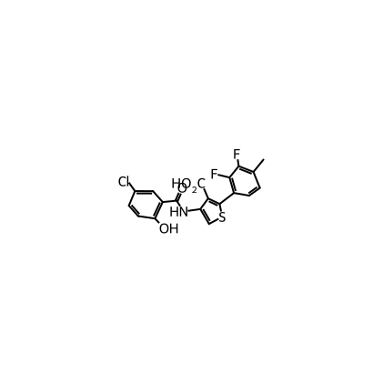 Cc1ccc(-c2scc(NC(=O)c3cc(Cl)ccc3O)c2C(=O)O)c(F)c1F